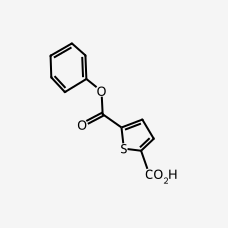 O=C(O)c1ccc(C(=O)Oc2ccccc2)s1